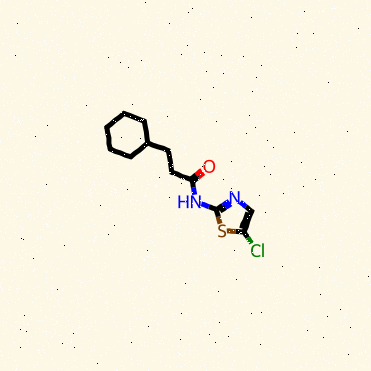 O=C(CCC1CCCCC1)Nc1ncc(Cl)s1